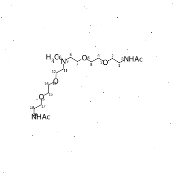 CC(=O)NCCOCCOCCN(C)CCOCCOCCNC(C)=O